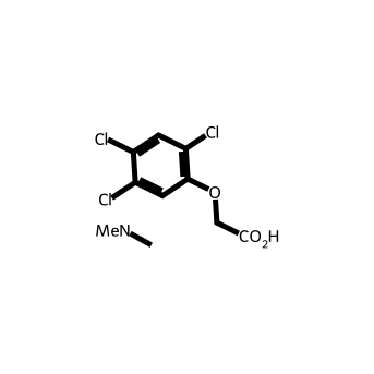 CNC.O=C(O)COc1cc(Cl)c(Cl)cc1Cl